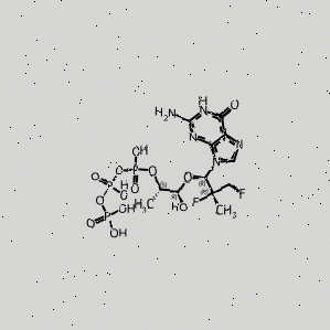 C[C@H](OP(=O)(O)OP(=O)(O)OP(=O)(O)O)[C@H](O)O[C@@H](n1cnc2c(=O)[nH]c(N)nc21)[C@@](C)(F)CF